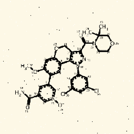 COc1cc2c(cc1-c1cc(C(N)=O)c[n+]([O-])c1)-c1c(c(C(=O)N3CCOCC3(C)C)nn1-c1cc(Cl)cc(Cl)c1)CO2